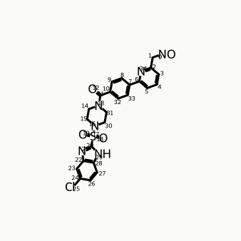 O=NCc1cccc(-c2ccc(C(=O)N3CCN(S(=O)(=O)c4nc5cc(Cl)ccc5[nH]4)CC3)cc2)n1